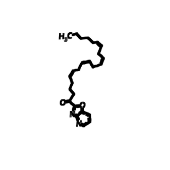 CCCCC/C=C\C/C=C\C/C=C\C/C=C\CCCC(=O)c1nc2ncccc2o1